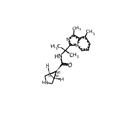 Cc1cccn2c(C(C)(C)NC(=O)[C@H]3[C@@H]4CNC[C@@H]43)nc(C)c12